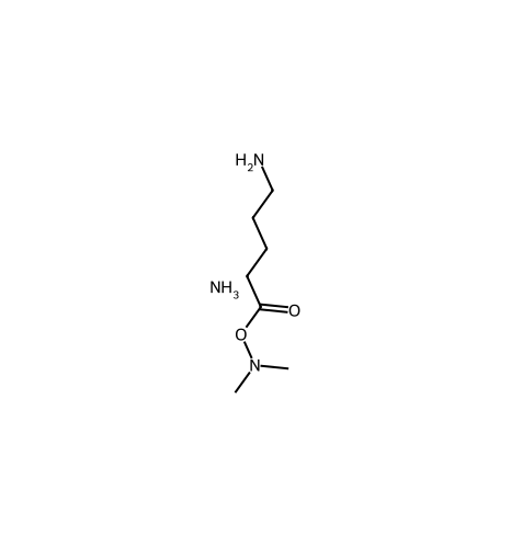 CN(C)OC(=O)CCCCN.N